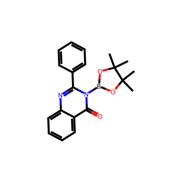 CC1(C)OB(n2c(-c3ccccc3)nc3ccccc3c2=O)OC1(C)C